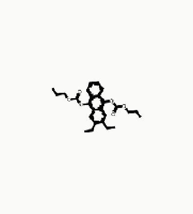 CCCOC(=O)Oc1c2ccccc2c(OC(=O)OCCC)c2cc(CC)c(CC)cc12